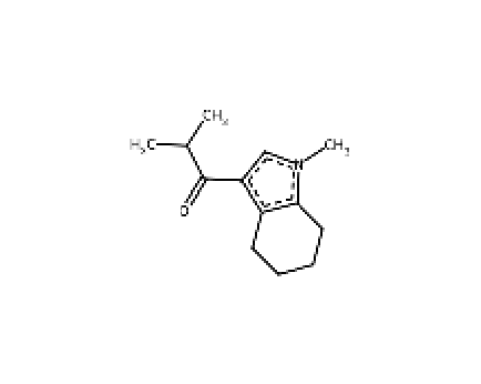 CC(C)C(=O)c1cn(C)c2c1CCCC2